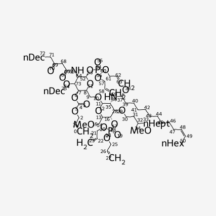 C=CCOC(=O)O[C@@H]1C(COC2OC(COC)[C@@H](OP(=O)(OCC=C)OCC=C)C(OCCC(CCCCCCC)OC)[C@H]2NC(=O)CCCCCCCCC/C=C\CCCCCC)O[C@H](OP(=O)(OCC=C)OCC=C)[C@H](NC(=O)CC(=O)CCCCCCCCCCC)C1OCCCCCCCCCC